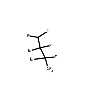 FC(F)C(F)(Br)C(F)(Br)C(F)(F)F